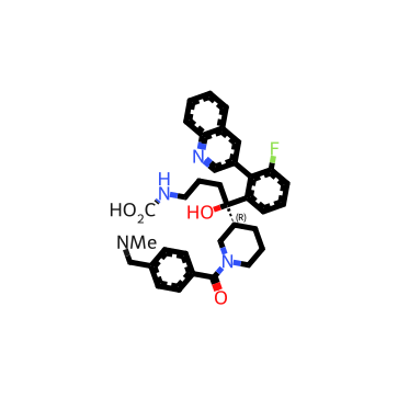 CNCc1ccc(C(=O)N2CCC[C@@H](C(O)(CCCNC(=O)O)c3cccc(F)c3-c3cnc4ccccc4c3)C2)cc1